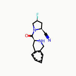 N#C[C@@H]1C[C@H](F)CN1C(=O)[C@@H]1Cc2ccccc2CN1